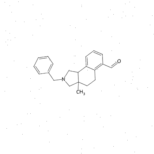 CC12CCc3c(C=O)cccc3C1CN(Cc1ccccc1)C2